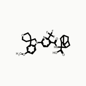 COc1ccc2c(c1)C1(CCOCC1)CN2c1ccc(C(=O)NC2(C(=O)O)C3CC4CC(C3)CC2C4)c(C(F)(F)F)n1